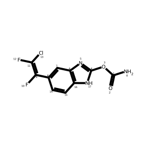 NC(=O)Oc1nc2cc(C(F)=C(F)Cl)ccc2[nH]1